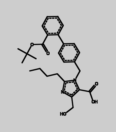 CCCCc1nc(CO)c(C(=O)O)n1Cc1ccc(-c2ccccc2C(=O)OC(C)(C)C)cc1